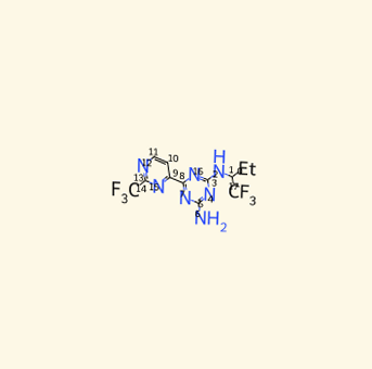 CCC(Nc1nc(N)nc(-c2ccnc(C(F)(F)F)n2)n1)C(F)(F)F